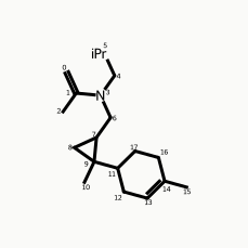 C=C(C)N(CC(C)C)CC1CC1(C)C1CC=C(C)CC1